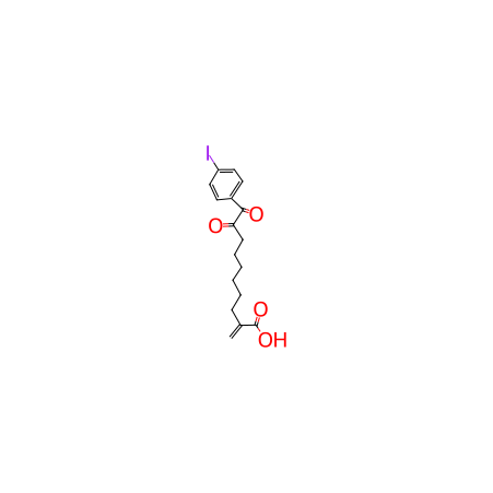 C=C(CCCCCCC(=O)C(=O)c1ccc(I)cc1)C(=O)O